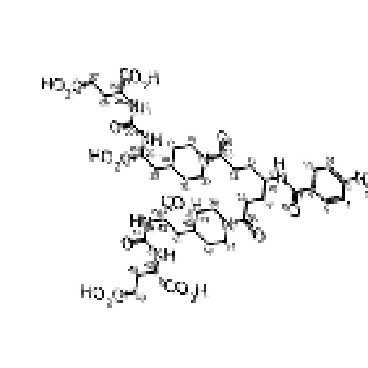 [N-]=[N+]=Nc1ccc(C(=O)NC(CCC(=O)N2CCC(C[C@H](NC(=O)N[C@@H](CCC(=O)O)C(=O)O)C(=O)O)CC2)CCC(=O)N2CCC(C[C@H](NC(=O)N[C@@H](CCC(=O)O)C(=O)O)C(=O)O)CC2)cc1